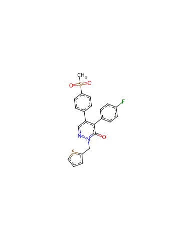 CS(=O)(=O)c1ccc(-c2cnn(Cc3cccs3)c(=O)c2-c2ccc(F)cc2)cc1